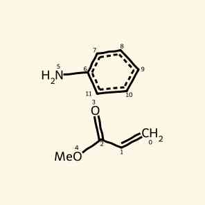 C=CC(=O)OC.Nc1ccccc1